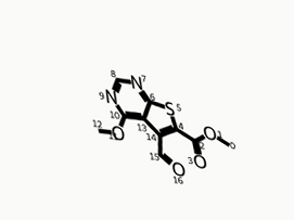 COC(=O)c1sc2ncnc(OC)c2c1C=O